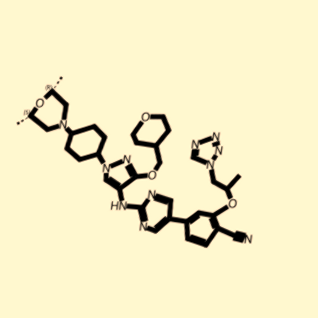 CC(Cn1cnnn1)Oc1cc(-c2cnc(Nc3cn(C4CCC(N5C[C@@H](C)O[C@@H](C)C5)CC4)nc3OCC3CCOCC3)nc2)ccc1C#N